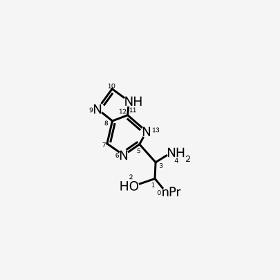 CCCC(O)C(N)c1ncc2nc[nH]c2n1